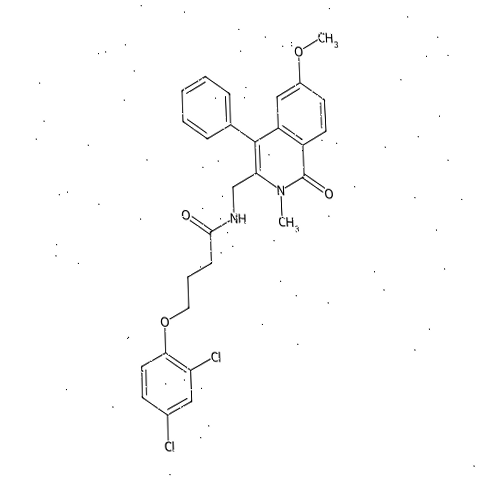 COc1ccc2c(=O)n(C)c(CNC(=O)CCCOc3ccc(Cl)cc3Cl)c(-c3ccccc3)c2c1